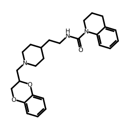 O=C(NCCC1CCN(CC2COc3ccccc3O2)CC1)N1CCCc2ccccc21